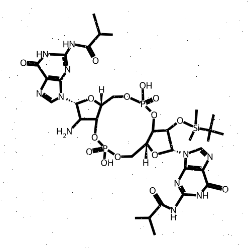 CC(C)C(=O)Nc1nc2c(ncn2[C@@H]2O[C@@H]3COP(=O)(O)OC4C(O[Si](C)(C)C(C)(C)C)[C@H](n5cnc6c(=O)[nH]c(NC(=O)C(C)C)nc65)O[C@@H]4COP(=O)(O)OC3C2N)c(=O)[nH]1